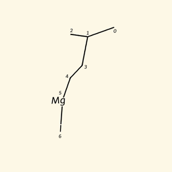 CC(C)C[CH2][Mg][I]